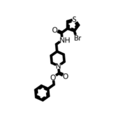 O=C(NCC1CCN(C(=O)OCc2ccccc2)CC1)c1cscc1Br